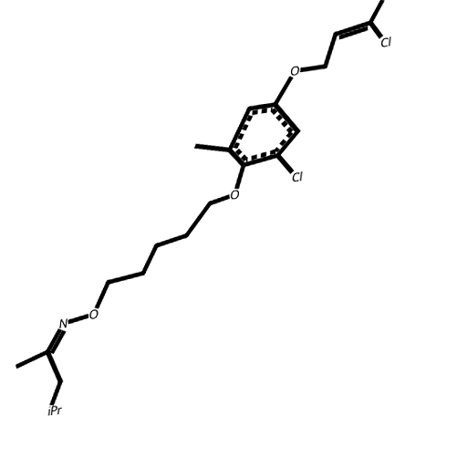 CC(CC(C)C)=NOCCCCCOc1c(C)cc(OCC=C(Cl)Cl)cc1Cl